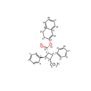 O=C(O)[C@H]1[C@@H](c2ccccc2)[C@H](C(=O)OC2=Cc3ccccc3CC2)[C@@H]1c1ccccc1